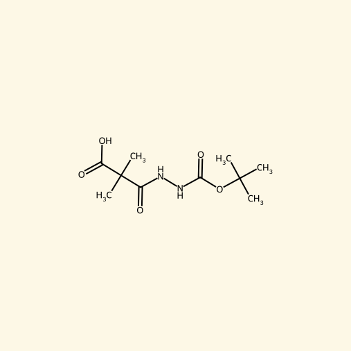 CC(C)(C)OC(=O)NNC(=O)C(C)(C)C(=O)O